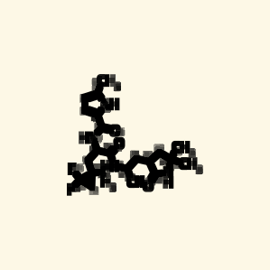 Cc1ccc(C(=O)NC(CC2(C)CC2(F)F)C(=O)NC(C#N)CC2CC(C)(C)NC2=O)[nH]1